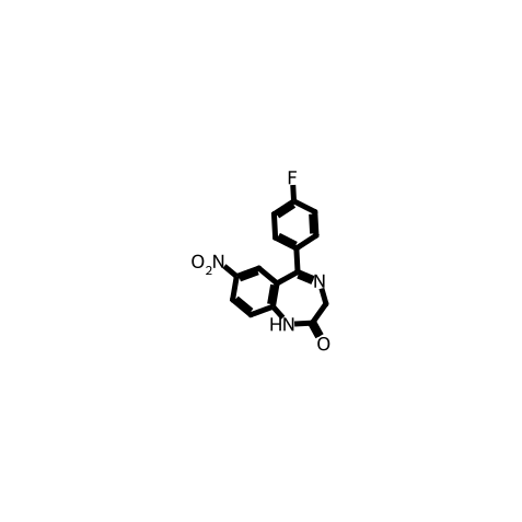 O=C1CN=C(c2ccc(F)cc2)c2cc([N+](=O)[O-])ccc2N1